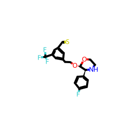 Fc1ccc([C@@H]2NCCO[C@H]2OCCc2cc(C=S)cc(C(F)(F)F)c2)cc1